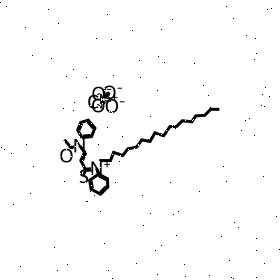 CCCCCCCCCCCCCCCCCC[n+]1c(C=CN(C(C)=O)c2ccccc2)sc2ccccc21.[O-][Cl+3]([O-])([O-])[O-]